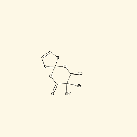 CCCC1(CCC)C(=O)OC2(OC1=O)SC=CS2